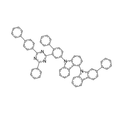 c1ccc(-c2ccc(-c3nc(-c4ccccc4)nc(-c4cc(-n5c6ccccc6c6c(-n7c8ccccc8c8ccc(-c9ccccc9)cc87)cccc65)ccc4-c4ccccc4)n3)cc2)cc1